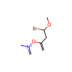 C=C(CC(Br)OC)O[N+](=C)C